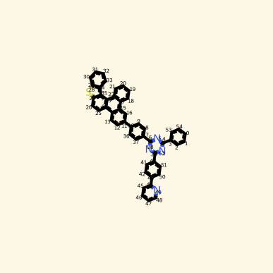 c1ccc(-c2nc(-c3ccc(-c4ccc5c(c4)c4ccccc4c4c5ccc5sc6ccccc6c54)cc3)nc(-c3ccc(-c4ccccn4)cc3)n2)cc1